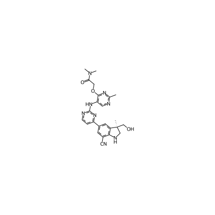 Cc1ncc(Nc2nccc(-c3cc(C#N)c4c(c3)[C@@](C)(CO)CN4)n2)c(OCC(=O)N(C)C)n1